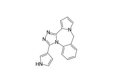 c1ccc2c(c1)Cn1cccc1-c1nnc(-c3cc[nH]c3)n1-2